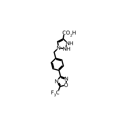 O=C(O)C1=CN(Cc2ccc(-c3noc(C(F)(F)F)n3)cc2)NN1